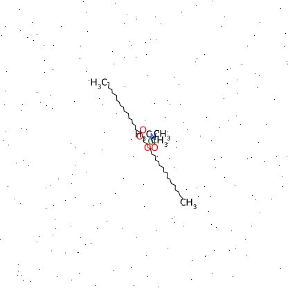 CCCCCCCCCCCCCCCCCC(=O)OCCC(Cl)OC(=O)CCCCCCCCCCCCCCCCC.CN(C)C